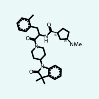 CN[C@@H]1CC[C@H](C(=O)NC(Cc2ccccc2C)C(=O)N2CCC(N3C(=O)C(C)(C)c4ccccc43)CC2)C1